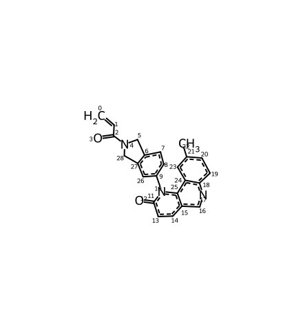 C=CC(=O)N1Cc2ccc(-n3c(=O)ccc4cnc5ccc(C)cc5c43)cc2C1